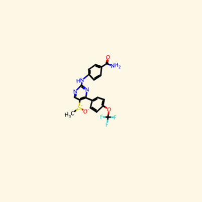 C[S+]([O-])c1cnc(Nc2ccc(C(N)=O)cc2)nc1-c1ccc(OC(F)(F)F)cc1